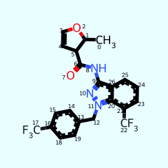 CC1OC=CC1C(=O)Nc1nn(Cc2ccc(C(F)(F)F)cc2)c2c(C(F)(F)F)cccc12